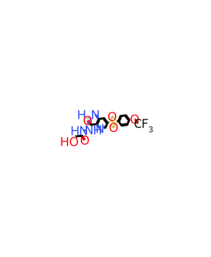 Nc1cc(S(=O)(=O)c2ccc(OC(F)(F)F)cc2)cnc1C(=O)NNC(=O)CO